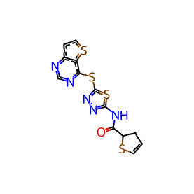 O=C(Nc1nnc(Sc2ncnc3ccsc23)s1)C1CC=CS1